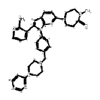 CN1CCN(c2ccc3nc(-c4cccnc4N)n(-c4ccc(CN5CCN(c6ccncn6)CC5)cc4)c3n2)CCC1=O